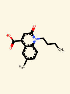 CCCCn1c(=O)cc(C(=O)O)c2cc(C)ccc21